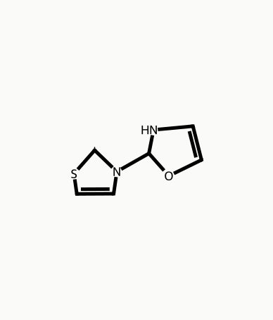 [CH]1SC=CN1C1NC=CO1